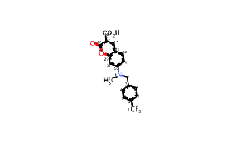 CN(Cc1ccc(C(F)(F)F)cc1)c1ccc2cc(C(=O)O)c(=O)oc2c1